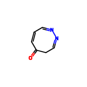 O=C1C=CC=NN=CC1